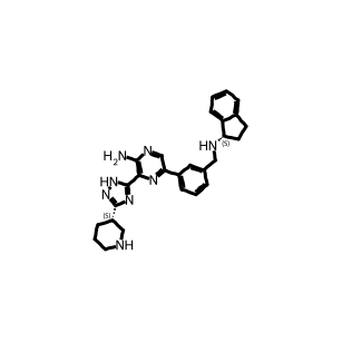 Nc1ncc(-c2cccc(CN[C@H]3CCc4ccccc43)c2)nc1-c1nc([C@H]2CCCNC2)n[nH]1